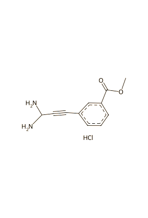 COC(=O)c1cccc(C#CC(N)N)c1.Cl